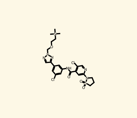 C[Si](C)(C)CCOCn1ncc(-c2cc(Cl)cc(NC(=O)c3cc(N4CCCS4(=O)=O)ncc3Cl)c2)n1